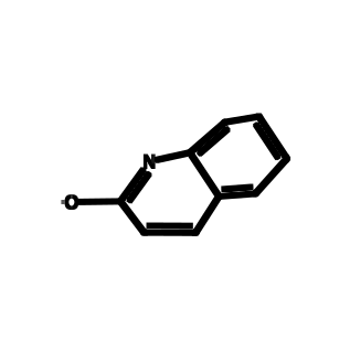 [O]c1ccc2ccccc2n1